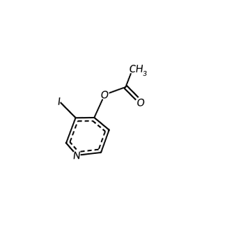 CC(=O)Oc1ccncc1I